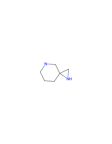 C1C[N]CC2(C1)CN2